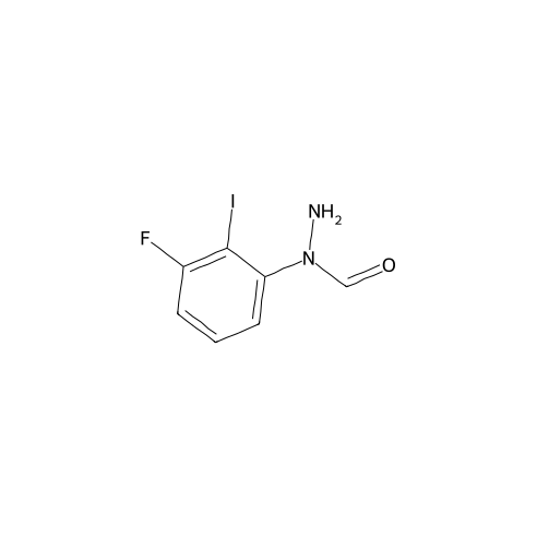 NN(C=O)c1cccc(F)c1I